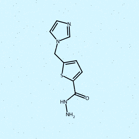 NNC(=O)c1ccc(Cn2ccnc2)s1